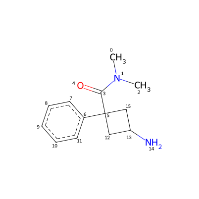 CN(C)C(=O)C1(c2ccccc2)CC(N)C1